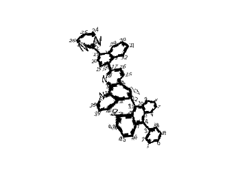 c1ccc(-c2c3ccccc3c(-c3cc4ccc(-c5ccc(-c6ncccn6)c6ccccc56)nc4c4ncccc34)c3ccccc23)cc1